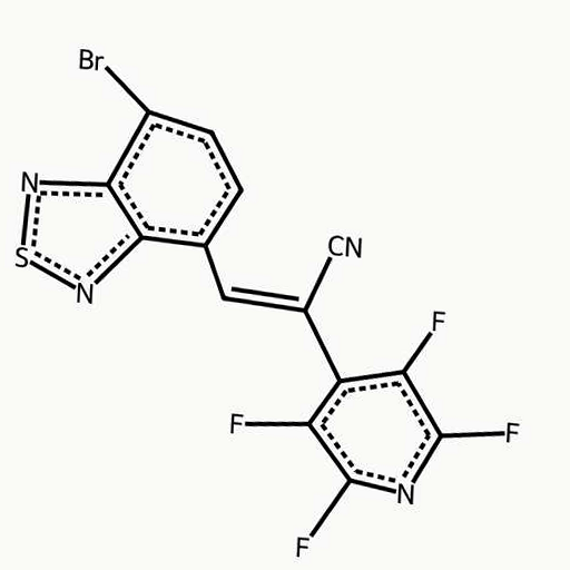 N#CC(=Cc1ccc(Br)c2nsnc12)c1c(F)c(F)nc(F)c1F